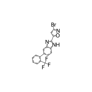 FC(F)(F)c1ccccc1-c1ccc2[nH]c(-c3cc(Br)no3)nc2c1